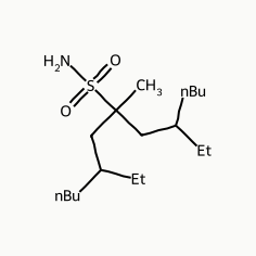 CCCCC(CC)CC(C)(CC(CC)CCCC)S(N)(=O)=O